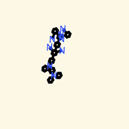 N#Cc1ccccc1-c1cc(-c2ccc(-c3c(C#N)cc(-c4ccc(-n5c6ccccc6c6cc(N(c7ccccc7)c7ccccc7)ccc65)cc4)cc3C#N)cc2)nc(-c2ccccc2C#N)n1